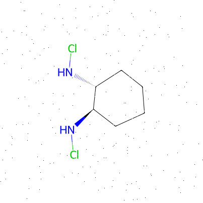 ClN[C@@H]1CCCC[C@H]1NCl